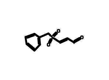 O=[C]/C=C/S(=O)(=O)Cc1ccccc1